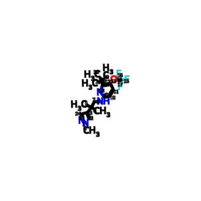 Cn1cc(C(C)(C)CNc2ccc(OC(F)(F)F)c(C(C)(C)C)n2)cn1